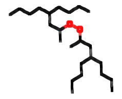 CCCCC(CCCC)CC(C)OOC(C)CC(CCCC)CCCC